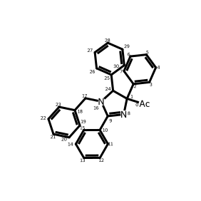 CC(=O)C1(c2ccccc2)N=C(c2ccccc2)N(Cc2ccccc2)C1c1ccccc1